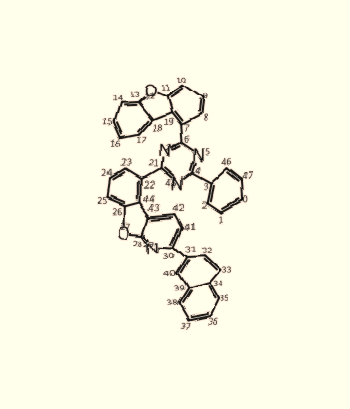 c1ccc(-c2nc(-c3cccc4oc5ccccc5c34)nc(-c3cccc4oc5nc(-c6ccc7ccccc7c6)ccc5c34)n2)cc1